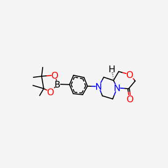 CC1(C)OB(c2ccc(N3CCN4C(=O)COC[C@@H]4C3)cc2)OC1(C)C